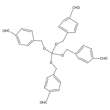 O=Cc1ccc(COC(OCc2ccc(C=O)cc2)(OCc2ccc(C=O)cc2)OCc2ccc(C=O)cc2)cc1